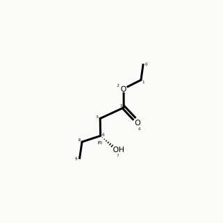 CCOC(=O)C[C@H](O)CC